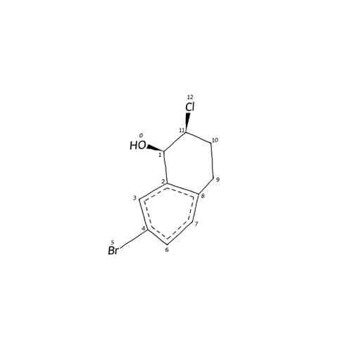 O[C@@H]1c2cc(Br)ccc2CC[C@@H]1Cl